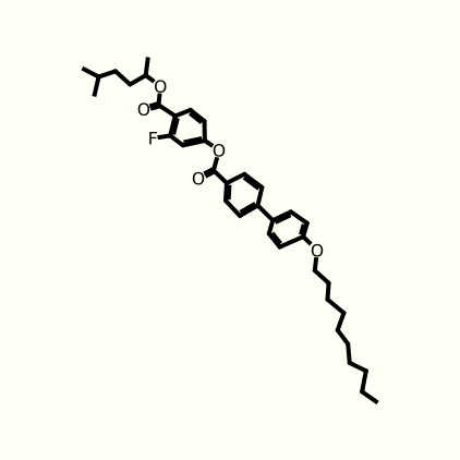 CCCCCCCCCCOc1ccc(-c2ccc(C(=O)Oc3ccc(C(=O)OC(C)CCC(C)C)c(F)c3)cc2)cc1